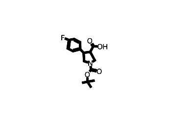 CC(C)(C)OC(=O)N1CC(C(=O)O)C(c2ccc(F)cc2)C1